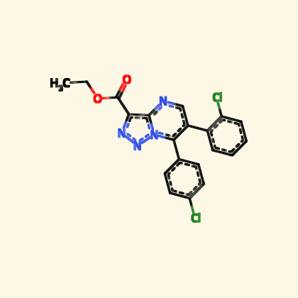 CCOC(=O)c1nnn2c(-c3ccc(Cl)cc3)c(-c3ccccc3Cl)cnc12